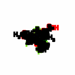 CC(C)(C#Cc1ccc(-c2ccc(Cl)c3c(N(C(=O)CCCC(=O)O)S(C)(=O)=O)nn(CC(F)(F)F)c23)c([C@H](Cc2cc(F)cc(F)c2)NC(=O)Cn2nc(C(F)(F)F)c3c2C(F)(F)[C@@H]2C[C@H]32)n1)S(C)(=O)=O